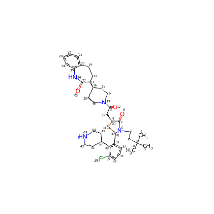 CC(C)(C)CCN1C(=O)[C@H](CC(=O)N2CCC(C3CCc4ccccc4NC3=O)CC2)S[C@@H]1c1cccc(F)c1C1CCNCC1